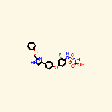 O=C(O)NS(=O)(=O)Nc1ccc(Oc2ccc(-c3c[nH]c(COc4ccccc4)n3)cc2)cc1F